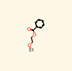 CCOCCOC(=O)c1cc[c]cc1